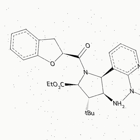 CCOC(=O)[C@@H]1[C@@H](C(C)(C)C)[C@H](N)[C@H](c2cccnc2N(C)C)N1C(=O)[C@@H]1Cc2ccccc2O1